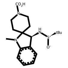 CN1c2ccccc2[C@H](N[S@+]([O-])C(C)(C)C)C12CCN(C(=O)O)CC2